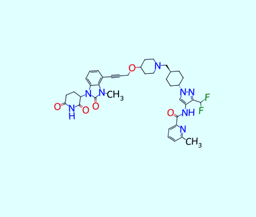 Cc1cccc(C(=O)Nc2cn([C@H]3CC[C@H](CN4CCC(OCC#Cc5cccc6c5n(C)c(=O)n6C5CCC(=O)NC5=O)CC4)CC3)nc2C(F)F)n1